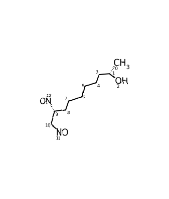 C[C@H](O)CCCCCC[C@H](CN=O)N=O